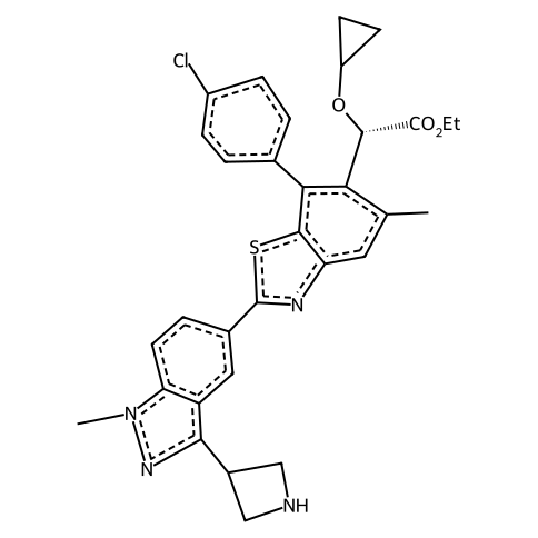 CCOC(=O)[C@@H](OC1CC1)c1c(C)cc2nc(-c3ccc4c(c3)c(C3CNC3)nn4C)sc2c1-c1ccc(Cl)cc1